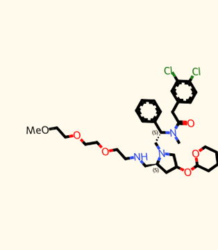 COCCOCCOCCNC[C@@H]1CC(OC2CCCCO2)CN1C[C@H](c1ccccc1)N(C)C(=O)Cc1ccc(Cl)c(Cl)c1